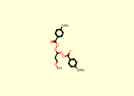 [CH2]CCOCC[C](OOC(=O)c1ccc(OC)cc1)OOC(=O)c1ccc(OC)cc1